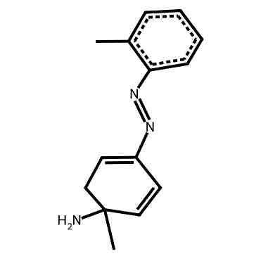 Cc1ccccc1N=NC1=CCC(C)(N)C=C1